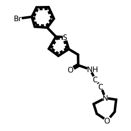 O=C(Cc1ccc(-c2cccc(Br)c2)s1)NCCN1CCOCC1